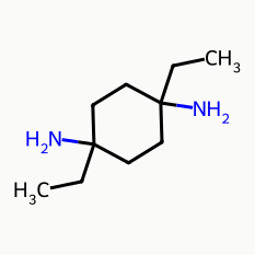 CCC1(N)CCC(N)(CC)CC1